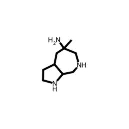 CC1(N)CNCC2NCCC2C1